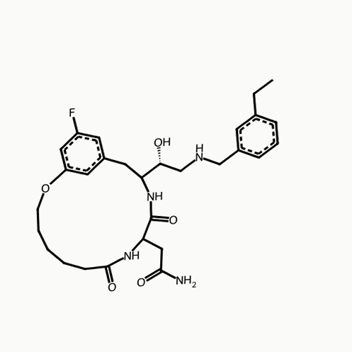 CCc1cccc(CNC[C@@H](O)C2Cc3cc(F)cc(c3)OCCCCCC(=O)NC(CC(N)=O)C(=O)N2)c1